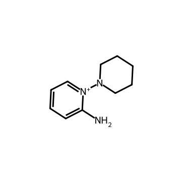 Nc1cccc[n+]1N1CCCCC1